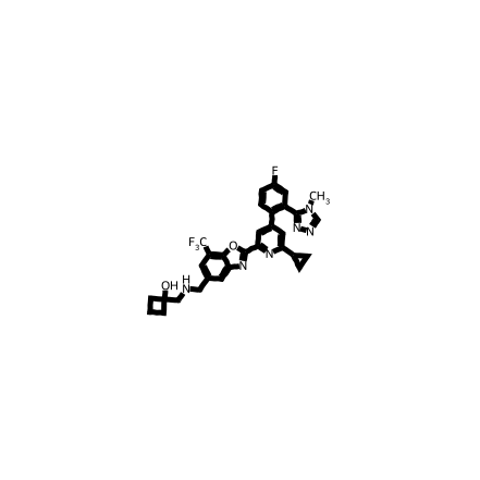 Cn1cnnc1-c1cc(F)ccc1-c1cc(-c2nc3cc(CNCC4(O)CCC4)cc(C(F)(F)F)c3o2)nc(C2CC2)c1